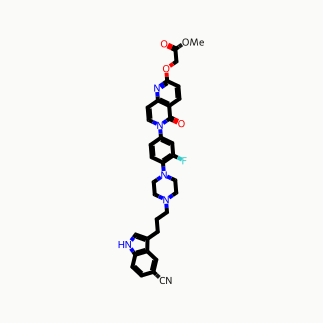 COC(=O)COc1ccc2c(=O)n(-c3ccc(N4CCN(CCCc5c[nH]c6ccc(C#N)cc56)CC4)c(F)c3)ccc2n1